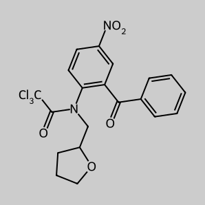 O=C(c1ccccc1)c1cc([N+](=O)[O-])ccc1N(CC1CCCO1)C(=O)C(Cl)(Cl)Cl